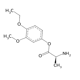 CCOc1ccc(OC(=O)[C@H](C)N)cc1OC